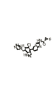 O=C(Nc1cn2cc(-c3c(Cl)c(F)c(Cn4cnnn4)c4[nH]ncc34)ccc2n1)[C@@H]1C[C@@H]1F